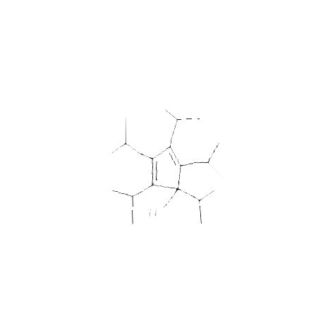 CC(C)C1=C(C(C)C)[C]([Na])(C(C)C)C(C(C)C)=C1C(C)C